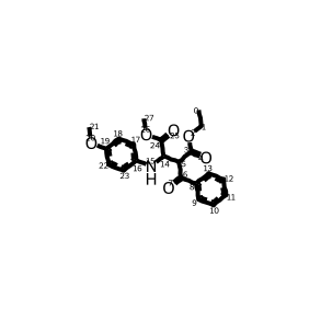 CCOC(=O)C(C(=O)c1ccccc1)C(Nc1ccc(OC)cc1)C(=O)OC